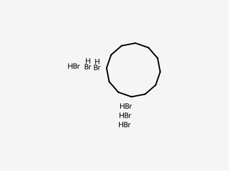 Br.Br.Br.Br.Br.Br.C1CCCCCCCCCCC1